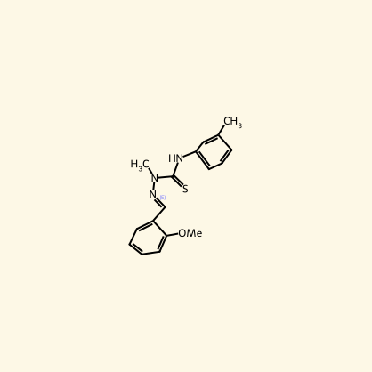 COc1ccccc1/C=N/N(C)C(=S)Nc1cccc(C)c1